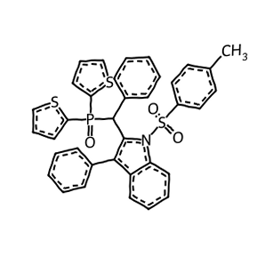 Cc1ccc(S(=O)(=O)n2c(C(c3ccccc3)P(=O)(c3cccs3)c3cccs3)c(-c3ccccc3)c3ccccc32)cc1